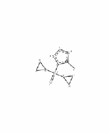 Cc1ncsc1P(=O)(C1CC1)C1CC1